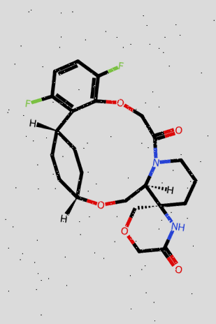 O=C1COC[C@]2(CCCN3C(=O)COc4c(F)ccc(F)c4[C@H]4CC[C@H](CC4)OC[C@@H]32)N1